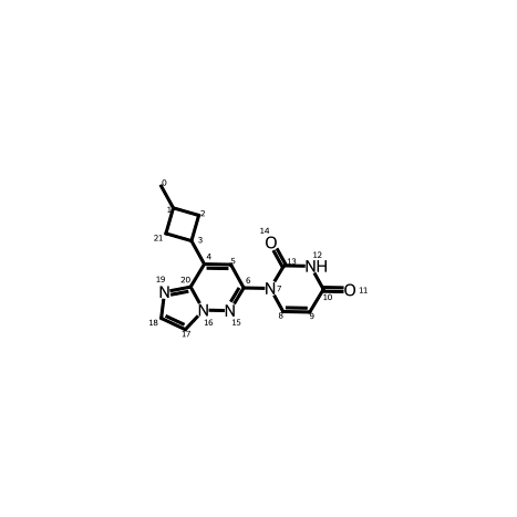 CC1CC(c2cc(-n3ccc(=O)[nH]c3=O)nn3ccnc23)C1